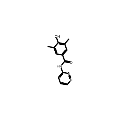 Cc1cc(C(=O)Nc2cccnn2)cc(C)c1O